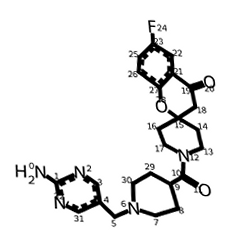 Nc1ncc(CN2CCC(C(=O)N3CCC4(CC3)CC(=O)c3cc(F)ccc3O4)CC2)cn1